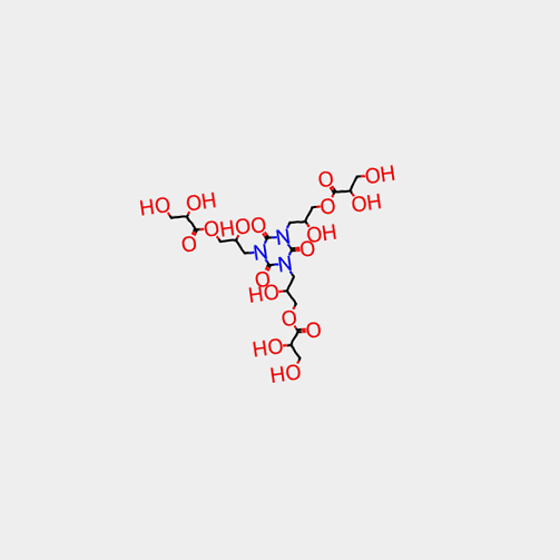 O=C(OCC(O)Cn1c(=O)n(CC(O)COC(=O)C(O)CO)c(=O)n(CC(O)COC(=O)C(O)CO)c1=O)C(O)CO